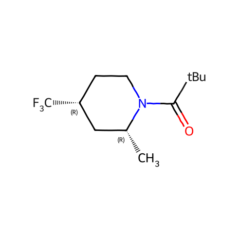 C[C@@H]1C[C@H](C(F)(F)F)CCN1C(=O)C(C)(C)C